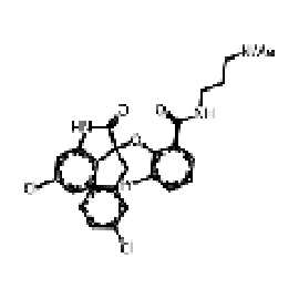 CNCCCNC(=O)c1cccc(C(C)C)c1OC1(Cc2cccc(Cl)c2)C(=O)Nc2cc(Cl)ccc21